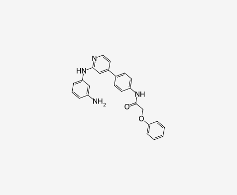 Nc1cccc(Nc2cc(-c3ccc(NC(=O)COc4ccccc4)cc3)ccn2)c1